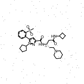 CS(=O)(=O)c1ccccc1-c1cc(C(=O)N[C@@H](CCN2CCCCC2)CC(=O)NC2CCC2)nn1C1CCCC1